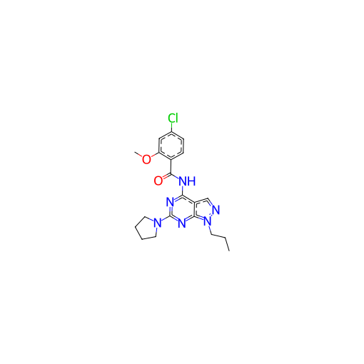 CCCn1ncc2c(NC(=O)c3ccc(Cl)cc3OC)nc(N3CCCC3)nc21